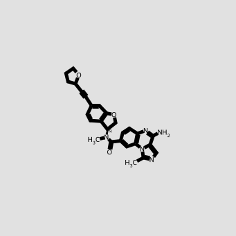 Cc1ncc2c(N)nc3ccc(C(=O)N(C)[C@@H]4COc5cc(C#CC6CCCO6)ccc54)cc3n12